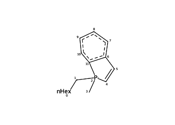 CCCCCCC[P]1(C)C=Cc2ccccc21